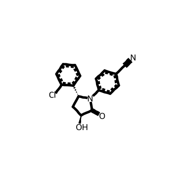 N#Cc1ccc(N2C(=O)[C@@H](O)C[C@@H]2c2ccccc2Cl)cc1